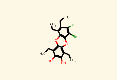 CCc1c(Br)c(Br)c2c(c1CC)Oc1c(CC)c(O)c(O)c(CC)c1O2